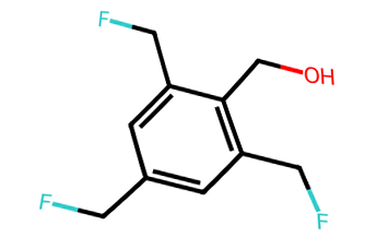 OCc1c(CF)cc(CF)cc1CF